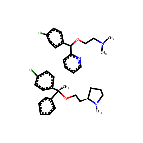 CN(C)CCOC(c1ccc(Cl)cc1)c1ccccn1.CN1CCC[C@@H]1CCO[C@](C)(c1ccccc1)c1ccc(Cl)cc1